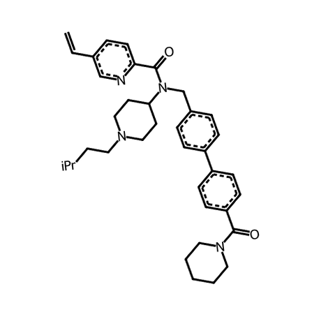 C=Cc1ccc(C(=O)N(Cc2ccc(-c3ccc(C(=O)N4CCCCC4)cc3)cc2)C2CCN(CCC(C)C)CC2)nc1